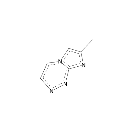 Cc1cn2ccnnc2n1